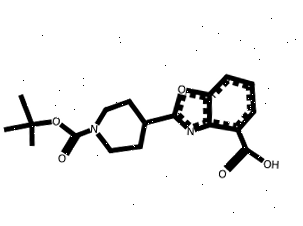 CC(C)(C)OC(=O)N1CCC(c2nc3c(C(=O)O)cccc3o2)CC1